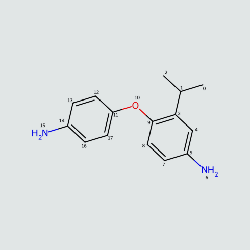 CC(C)c1cc(N)ccc1Oc1ccc(N)cc1